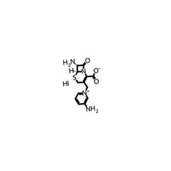 I.Nc1ccc[n+](CC2=C(C(=O)[O-])N3C(=O)[C@@H](N)[C@@H]3SC2)c1